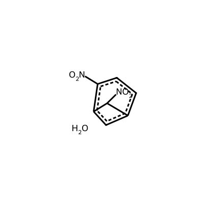 O.O=[N+]([O-])c1ccc2cc1C2[N+](=O)[O-]